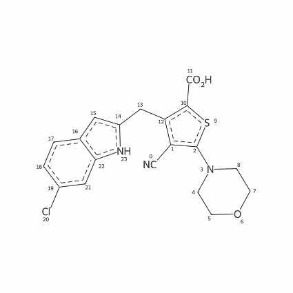 N#Cc1c(N2CCOCC2)sc(C(=O)O)c1Cc1cc2ccc(Cl)cc2[nH]1